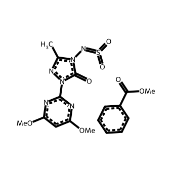 COC(=O)c1ccccc1.COc1cc(OC)nc(-n2nc(C)n(N=S(=O)=O)c2=O)n1